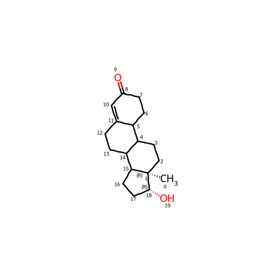 C[C@@]12CCC3C4CCC(=O)C=C4CCC3C1CC[C@H]2O